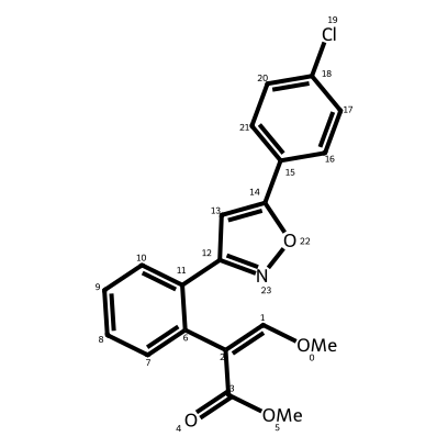 COC=C(C(=O)OC)c1ccccc1-c1cc(-c2ccc(Cl)cc2)on1